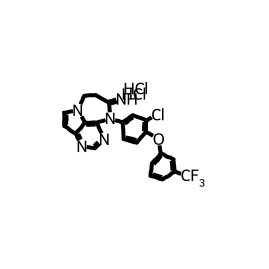 Cl.Cl.N=C1CCn2ccc3ncnc(c32)N1c1ccc(Oc2cccc(C(F)(F)F)c2)c(Cl)c1